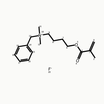 C=C(C)C(=O)OCCCC[N+](C)(C)Cc1ccccc1.[F-]